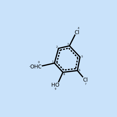 O=[C]c1cc(Cl)cc(Cl)c1O